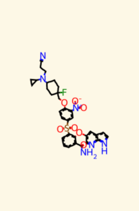 N#CCCN(C1CC1)C1CCC(F)(COc2ccc(S(=O)(=O)c3cccc(C(N)=O)c3Oc3cnc4[nH]ccc4c3)cc2[N+](=O)[O-])CC1